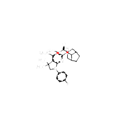 CNc1nc(NC2C3CCC2CN(C(=O)OC(C)(C)C)C3)nc2c1C(C)(C)CN2c1ccc(F)cc1